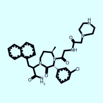 C[C@@H]1CCN(C(Cc2cccc3ccccc23)C(N)=O)C(=O)[C@@H](c2cccc(Cl)c2)N1C(=O)CNC(=O)CN1CCNCC1